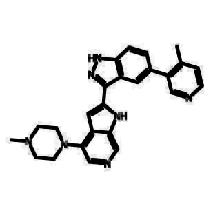 Cc1ccncc1-c1ccc2[nH]nc(-c3cc4c(N5CCN(C)CC5)cncc4[nH]3)c2c1